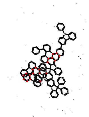 c1ccc(-c2ccccc2-c2c(-c3ccccc3)cccc2N(c2cccc(-c3cccc4c5ccccc5n(-c5cccc(-c6cccc(C7(c8ccccc8)c8ccccc8-c8cc(N(c9cccc(-c%10ccc%11c(c%10)c%10ccccc%10n%11-c%10ccccc%10)c9)c9cccc(-c%10ccccc%10)c9-c9ccccc9-c9ccccc9)ccc87)c6)c5)c34)c2)c2ccc3c(c2)-c2ccccc2C3(c2ccccc2)c2ccccc2)cc1